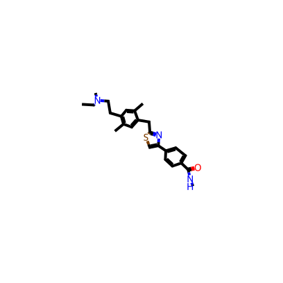 CCN(C)CCc1cc(C)c(Cc2nc(-c3ccc(C(=O)NC)cc3)cs2)cc1C